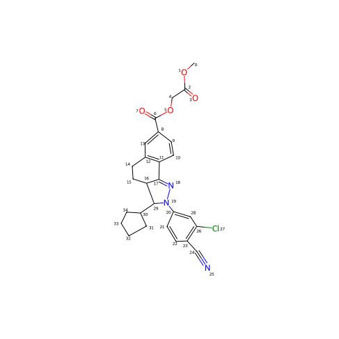 COC(=O)COC(=O)c1ccc2c(c1)CCC1C2=NN(c2ccc(C#N)c(Cl)c2)C1C1CCCC1